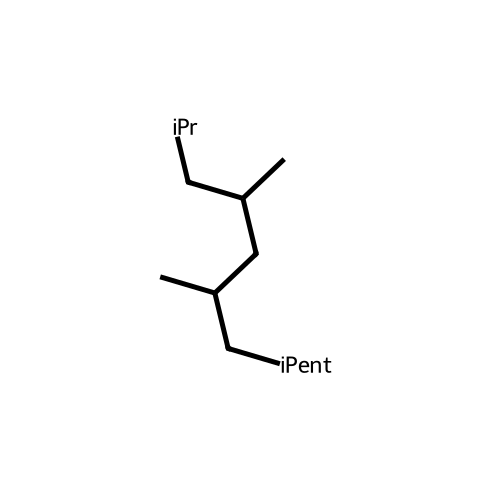 C[CH]CC(C)CC(C)CC(C)CC(C)C